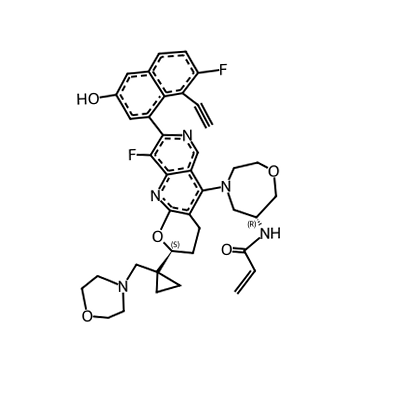 C#Cc1c(F)ccc2cc(O)cc(-c3ncc4c(N5CCOC[C@H](NC(=O)C=C)C5)c5c(nc4c3F)O[C@H](C3(CN4CCOCC4)CC3)CC5)c12